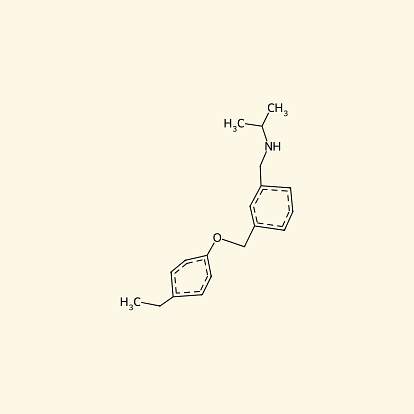 CCc1ccc(OCc2cccc(CNC(C)C)c2)cc1